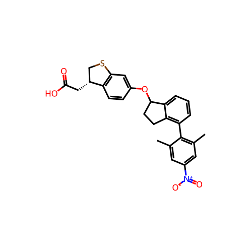 Cc1cc([N+](=O)[O-])cc(C)c1-c1cccc2c1CCC2Oc1ccc2c(c1)SC[C@H]2CC(=O)O